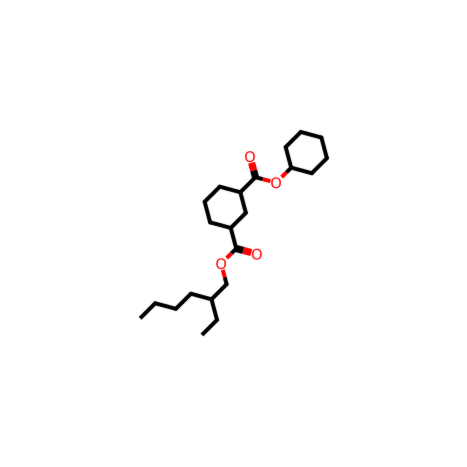 CCCCC(CC)COC(=O)C1CCCC(C(=O)OC2CCCCC2)C1